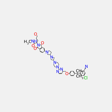 CNC(=O)C(CCC=O)N1C(=O)c2ccc(N3CCC(N4CC(N5CCN(c6nccc(COc7ccc(C(C)(C)c8cc(Cl)cc(C#N)c8)cc7)n6)CC5)C4)C3)cc2C1=O